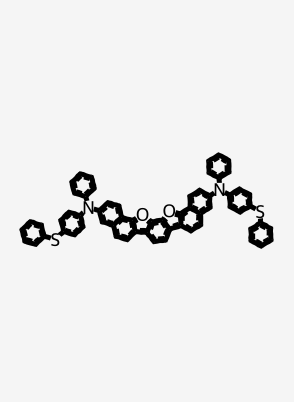 c1ccc(Sc2ccc(N(c3ccccc3)c3ccc4c(ccc5c6ccc7c8ccc9cc(N(c%10ccccc%10)c%10ccc(Sc%11ccccc%11)cc%10)ccc9c8oc7c6oc45)c3)cc2)cc1